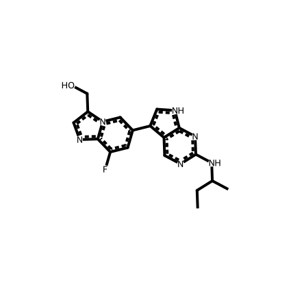 CCC(C)Nc1ncc2c(-c3cc(F)c4ncc(CO)n4c3)c[nH]c2n1